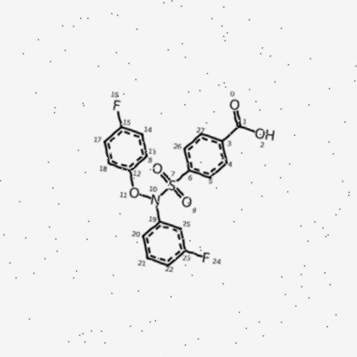 O=C(O)c1ccc(S(=O)(=O)N(Oc2ccc(F)cc2)c2cccc(F)c2)cc1